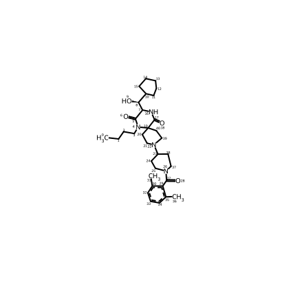 CCCCN1C(=O)C([C@@H](O)C2CCCCC2)NC(=O)C12CCN(C1CCN(C(=O)c3c(C)cccc3C)CC1)CC2